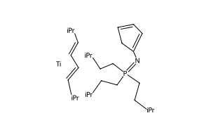 CC(C)C=CC=CC(C)C.CC(C)CCP(CCC(C)C)(CCC(C)C)=NC1=CC=CC1.[Ti]